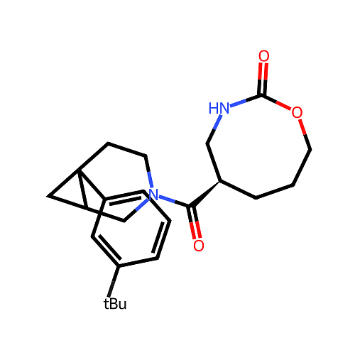 CC(C)(C)c1cccc(C23CCN(C(=O)[C@@H]4CCCOC(=O)NC4)CC2C3)c1